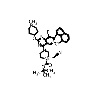 CN1CCC(Oc2nc(N3CCN(C(=O)OC(C)(C)C)[C@@H](CC#N)C3)c3cnc(-c4cccc5cccc(Cl)c45)c(F)c3n2)CC1